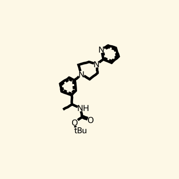 CC(NC(=O)OC(C)(C)C)c1cccc(N2CCN(c3ccccn3)CC2)c1